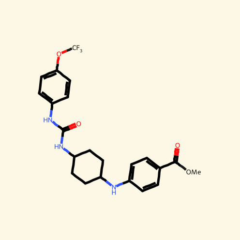 COC(=O)c1ccc(NC2CCC(NC(=O)Nc3ccc(OC(F)(F)F)cc3)CC2)cc1